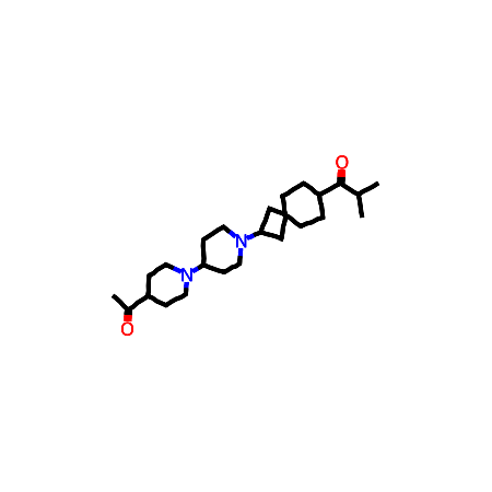 CC(=O)C1CCN(C2CCN(C3CC4(CCC(C(=O)C(C)C)CC4)C3)CC2)CC1